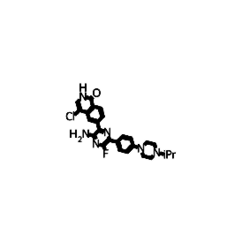 CC(C)N1CCN(c2ccc(-c3nc(-c4ccc5c(=O)[nH]cc(Cl)c5c4)c(N)nc3F)cc2)CC1